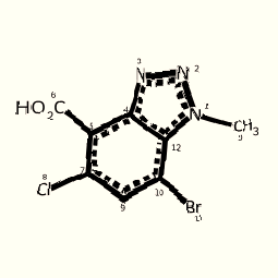 Cn1nnc2c(C(=O)O)c(Cl)cc(Br)c21